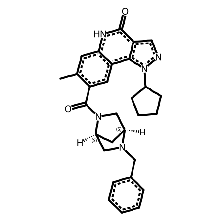 Cc1cc2[nH]c(=O)c3cnn(C4CCCC4)c3c2cc1C(=O)N1C[C@@H]2C[C@H]1CN2Cc1ccccc1